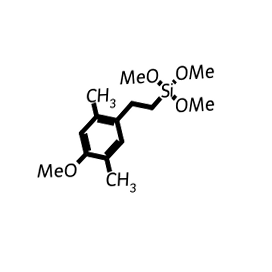 COc1cc(C)c(CC[Si](OC)(OC)OC)cc1C